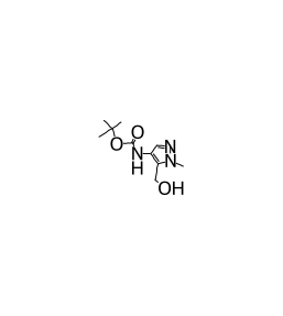 Cn1ncc(NC(=O)OC(C)(C)C)c1CO